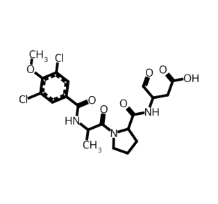 COc1c(Cl)cc(C(=O)NC(C)C(=O)N2CCCC2C(=O)NC(C=O)CC(=O)O)cc1Cl